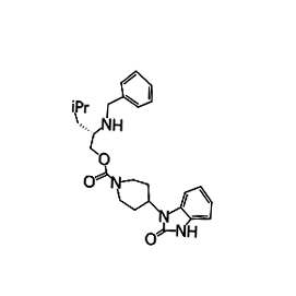 CC(C)C[C@@H](COC(=O)N1CCC(n2c(=O)[nH]c3ccccc32)CC1)NCc1ccccc1